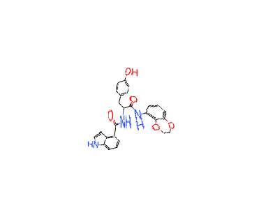 O=C(NC(Cc1ccc(O)cc1)C(=O)Nc1cccc2c1OCCO2)c1cccc2[nH]ccc12